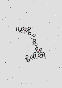 CC1(C)c2ccccc2-c2ccc(N(c3ccc(-c4ccc(-c5ccc6c(c5)sc5cc(-c7ccc(N(c8ccc(-c9ccc(-c%10cccc%11oc%12ccccc%12c%10%11)c%10ccccc9%10)cc8)c8ccc9c(c8)C(C)(C)c8ccccc8-9)c(-c8ccccc8)c7)ccc56)c5ccccc45)cc3)c3ccccc3-c3ccccc3)cc21